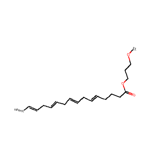 CCCCCC=CCC=CCC=CCC=CCCCC(=O)OCCCOCC